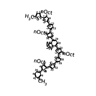 CCCCCCCCc1cc(C)sc1-c1ccc(-c2ccc(-c3sc(-c4ccc(-c5cc(CCCCCCCC)c(-c6ccc(-c7ccc(-c8sc(-c9cccc(C)c9)cc8CCCCCCCC)s7)s6)s5)c5nsnc45)cc3CCCCCCCC)s2)s1